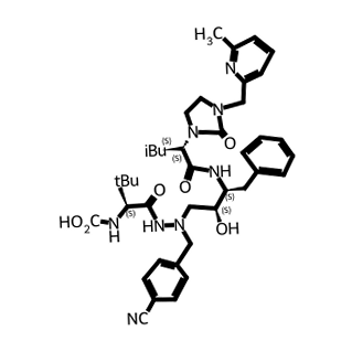 CC[C@H](C)[C@@H](C(=O)N[C@@H](Cc1ccccc1)[C@@H](O)CN(Cc1ccc(C#N)cc1)NC(=O)[C@@H](NC(=O)O)C(C)(C)C)N1CCN(Cc2cccc(C)n2)C1=O